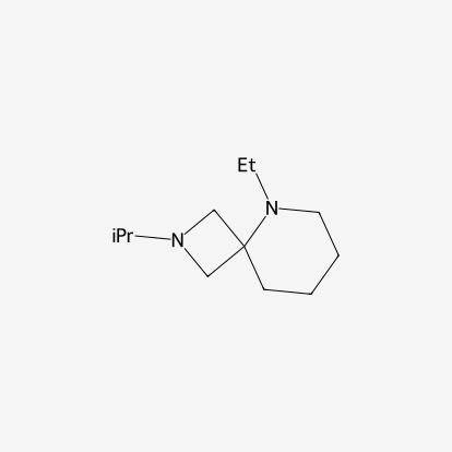 CCN1CCCCC12CN(C(C)C)C2